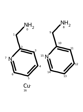 NCc1ccccn1.NCc1ccccn1.[Cu]